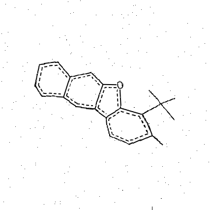 Cc1ccc2c(oc3cc4ccccc4cc32)c1C(C)(C)C